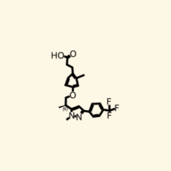 Cc1cc(OC[C@H](C)c2cc(-c3ccc(C(F)(F)F)cc3)nn2C)ccc1CCC(=O)O